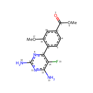 COC(=O)c1ccc(-c2nc(N)nc(N)c2F)c(OC)c1